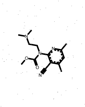 COC(=O)N(CCN(C)C)c1nc(C)cc(C)c1C#N